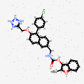 CCCCc1oc2ccccc2c1OC(=O)NCc1ccc2c(-c3ccc(Cl)cc3)c(OCc3nnn[nH]3)ccc2c1